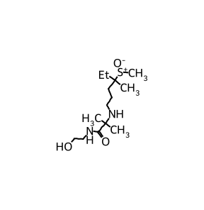 CCC(C)(CCCNC(C)(C)C(=O)NCCO)[S+](C)[O-]